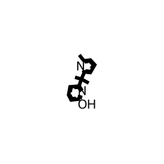 Cc1cccc(C(C)(C)c2cccc(O)n2)n1